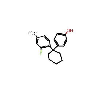 Cc1ccc(C2(c3ccc(O)cc3)CCCCC2)c(F)c1